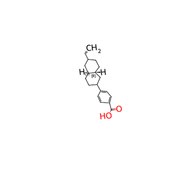 C=CC1CC[C@@H]2CC(c3ccc(C(=O)O)cc3)CC[C@H]2C1